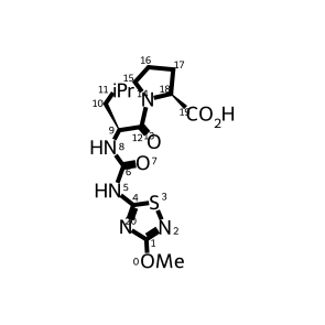 COc1nsc(NC(=O)N[C@@H](CC(C)C)C(=O)N2CCC[C@H]2C(=O)O)n1